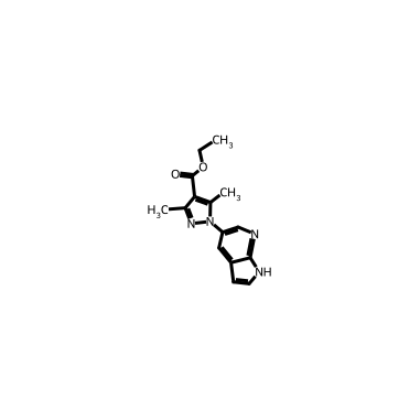 CCOC(=O)c1c(C)nn(-c2cnc3[nH]ccc3c2)c1C